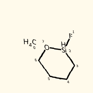 C.F[SiH]1CCCCO1